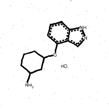 Cl.NC1CCCC(Oc2cccc3[nH]ncc23)C1